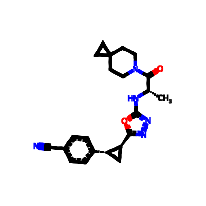 C[C@H](Nc1nnc([C@H]2C[C@@H]2c2ccc(C#N)cc2)o1)C(=O)N1CCC2(CC1)CC2